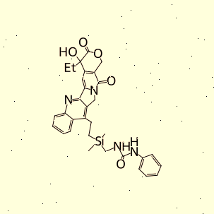 CCC1(O)C(=O)OCc2c1cc1n(c2=O)Cc2c-1nc1ccccc1c2CC[Si](C)(C)CNC(=O)Nc1ccccc1